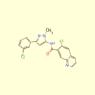 Cn1nc(-c2cccc(Cl)c2)cc1NC(=O)c1cc2ncccc2cc1Cl